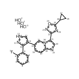 Cl.Cl.Cl.Fc1ccccc1-c1n[nH]cc1-c1ccc2ncc(-c3noc(C4CC4)n3)n2c1